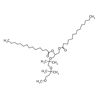 CCCCCCCCCCCCCC(=O)OCC(COC(C)(C)COC(C)(C)CCOC)OC(=O)CCCCCCCCCCCCC